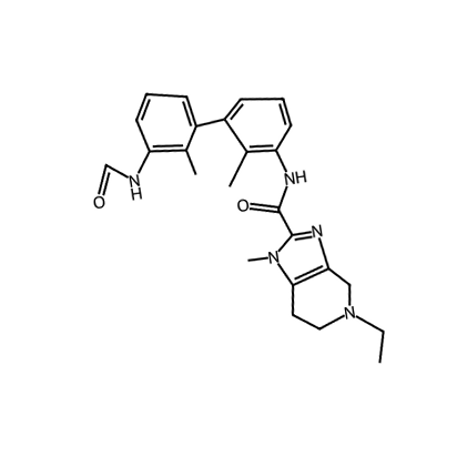 CCN1CCc2c(nc(C(=O)Nc3cccc(-c4cccc(NC=O)c4C)c3C)n2C)C1